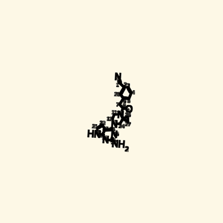 N#Cc1cccc(CC(=O)N2CCN(c3nc(N)nc4[nH]ccc34)CC23CC3)c1